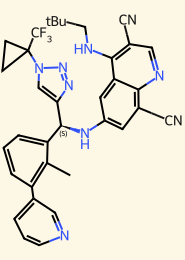 Cc1c(-c2cccnc2)cccc1[C@H](Nc1cc(C#N)c2ncc(C#N)c(NCC(C)(C)C)c2c1)c1cn(C2(C(F)(F)F)CC2)nn1